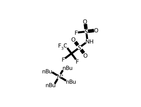 CCCC[N+](CCCC)(CCCC)CCCC.O=S(=O)(F)NS(=O)(=O)C(F)(F)C(F)(F)F